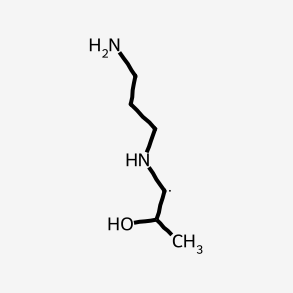 CC(O)[CH]NCCCN